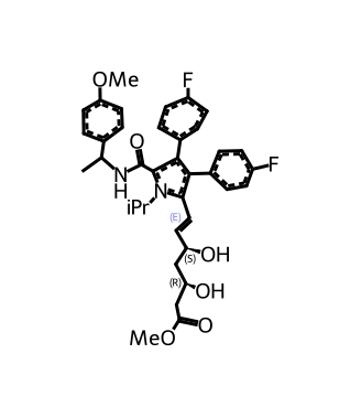 COC(=O)C[C@H](O)C[C@H](O)/C=C/c1c(-c2ccc(F)cc2)c(-c2ccc(F)cc2)c(C(=O)NC(C)c2ccc(OC)cc2)n1C(C)C